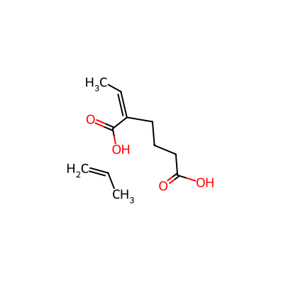 C=CC.CC=C(CCCC(=O)O)C(=O)O